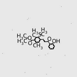 CSc1c(C=CC(=O)c2ccccc2O)cc(C)c(C(=O)OC(C)C)c1C